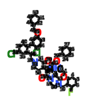 CCOc1cccc(F)c1CN1CCN(C(=O)[C@H](NC(=O)OCc2ccccc2)C2CCN(CCc3cc(Cl)ccc3-c3cc(OCc4ccccc4)ccc3Cl)CC2)CC1